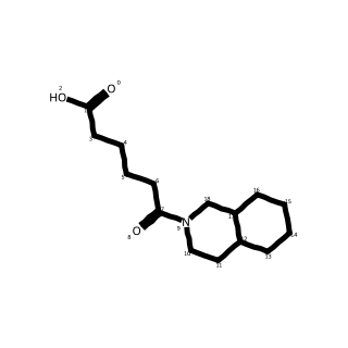 O=C(O)CCCCC(=O)N1CCC2CCCCC2C1